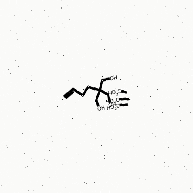 C=CCCC(CO)(CO)CO.CC(=O)O.CC(=O)O.CC(=O)O